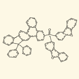 O=P(c1ccc2oc3ccccc3c2c1)(c1ccc2oc3ccccc3c2c1)c1ccc2c(c1)c1ccccc1c1cc3c(cc21)C(c1ccccc1)(c1ccccc1)c1ccccc1-3